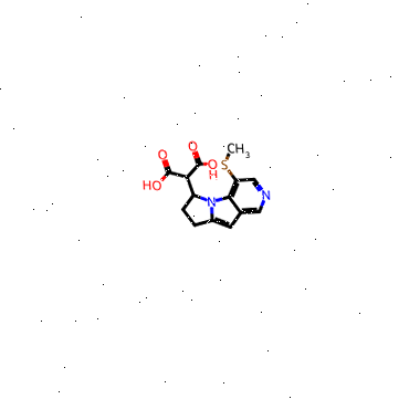 CSc1cncc2cc3n(c12)C(C(C(=O)O)C(=O)O)CC3